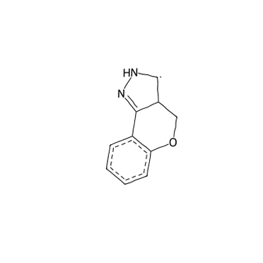 [CH]1NN=C2c3ccccc3OCC12